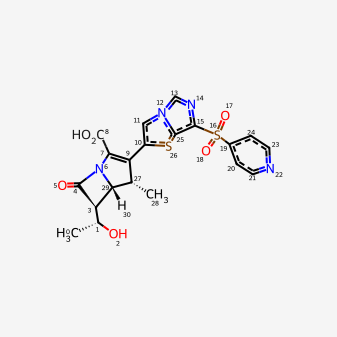 C[C@@H](O)[C@H]1C(=O)N2C(C(=O)O)=C(c3cn4cnc(S(=O)(=O)c5ccncc5)c4s3)[C@H](C)[C@H]12